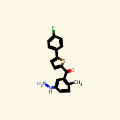 Cc1ccc(NN)cc1C(=O)c1ccc(-c2ccc(F)cc2)s1